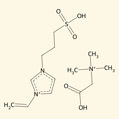 C=C[n+]1ccn(CCCS(=O)(=O)O)c1.C[N+](C)(C)CC(=O)O